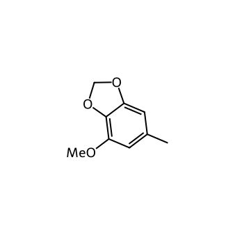 COc1cc(C)cc2c1OCO2